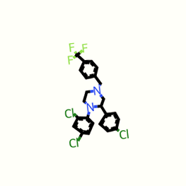 FC(F)(F)c1ccc(CN2CCN(c3ccc(Cl)cc3Cl)C(c3ccc(Cl)cc3)C2)cc1